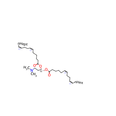 CCCCCC/C=C\CC/C=C\CCCCC(=O)OC[C@H](CCN(C)C)OC(=O)CCCC/C=C\CC/C=C\CCCCCCC